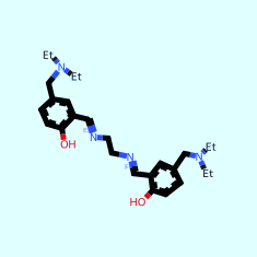 CCN(CC)Cc1ccc(O)c(/C=N/CC/N=C/c2cc(CN(CC)CC)ccc2O)c1